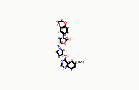 COc1ccc2ncnc(O[C@H]3CCN(C[C@@H]4CN(c5ccc6c(c5)OCCO6)C(=O)O4)C3)c2c1